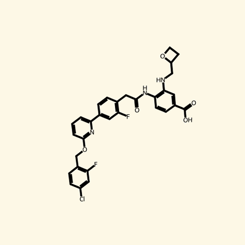 O=C(Cc1ccc(-c2cccc(OCc3ccc(Cl)cc3F)n2)cc1F)Nc1ccc(C(=O)O)cc1NCC1CCO1